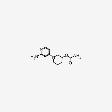 NC(=O)OC1CCCN(c2ccnc(N)c2)C1